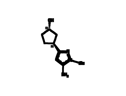 CC(C)(C)n1nc([C@H]2CC[C@H](O)C2)cc1N